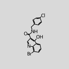 O=C(NCc1ccc(Cl)cc1)c1cnc2c(Br)cccc2c1O